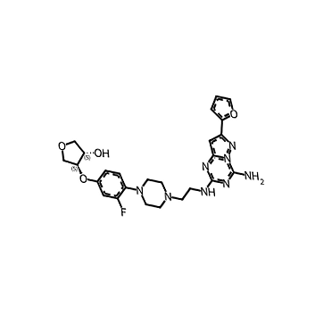 Nc1nc(NCCN2CCN(c3ccc(O[C@H]4COC[C@@H]4O)cc3F)CC2)nc2cc(-c3ccco3)nn12